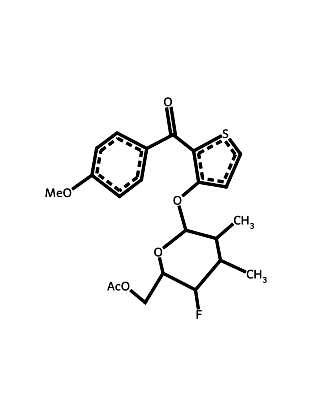 COc1ccc(C(=O)c2sccc2OC2OC(COC(C)=O)C(F)C(C)C2C)cc1